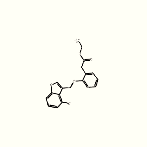 CCOC(=O)Cc1ccccc1OCc1coc2cccc(Cl)c12